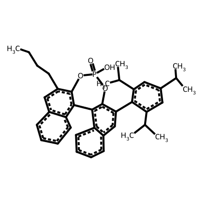 CCCCc1cc2ccccc2c2c1OP(=O)(O)Oc1c(-c3c(C(C)C)cc(C(C)C)cc3C(C)C)cc3ccccc3c1-2